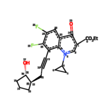 CCOC(=O)c1cn(C2CC2)c2c(C#CC[C@H]3CCC[C@@H]3O)c(F)c(F)cc2c1=O